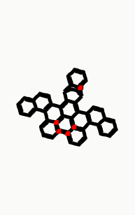 O=C1CC2c3ccccc3C1c1c2c(-c2ccc3ccccc3c2-c2ccccc2)c2ccccc2c1-c1ccc2ccccc2c1-c1ccccc1